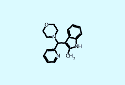 Cc1[nH]c2ccccc2c1C(c1ccccn1)N1CCOCC1